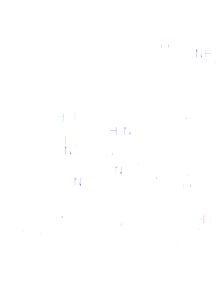 COc1ccc(CN(C(=O)C(N)Cc2c(C)cc(C(N)=O)cc2C)C(C)c2nc(-c3ccccc3)c[nH]2)cc1C(=O)O.Cl